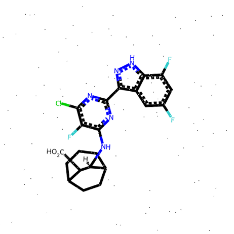 O=C(O)C1C2CCCC(CC2)[C@@H]1Nc1nc(-c2n[nH]c3c(F)cc(F)cc23)nc(Cl)c1F